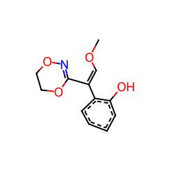 CO/C=C(\C1=NOCCO1)c1ccccc1O